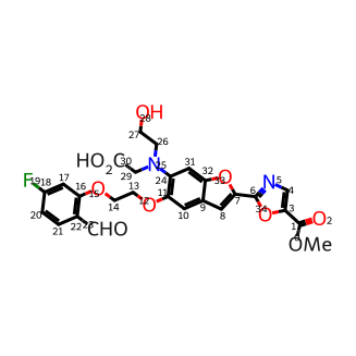 COC(=O)c1cnc(-c2cc3cc(OCCOc4cc(F)ccc4C=O)c(N(CCO)CC(=O)O)cc3o2)o1